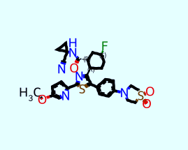 COc1ccc(-c2nc([C@@H]3CC[C@H](F)C[C@H]3C(=O)NC3(C#N)CC3)c(-c3ccc(N4CCS(=O)(=O)CC4)cc3)s2)nc1